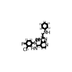 N=C(c1ccnc2nc(CNc3ccccc3)[nH]c12)N(O)c1ccc(F)c(Cl)c1